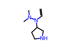 C=CN(C1CCNC1)N(C)C